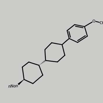 CCCCCCCCC[C@H]1CC[C@H](C2CCC(c3ccc(OC(F)(F)F)cc3)CC2)CC1